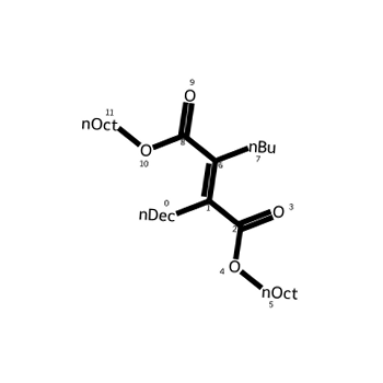 CCCCCCCCCCC(C(=O)OCCCCCCCC)=C(CCCC)C(=O)OCCCCCCCC